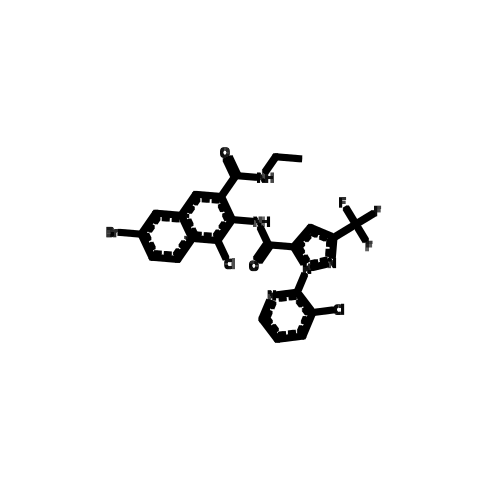 CCNC(=O)c1cc2cc(Br)ccc2c(Cl)c1NC(=O)c1cc(C(F)(F)F)nn1-c1ncccc1Cl